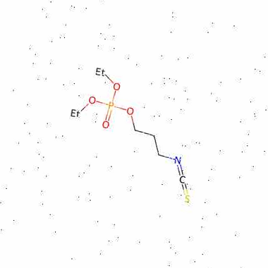 CCOP(=O)(OCC)OCCCN=C=S